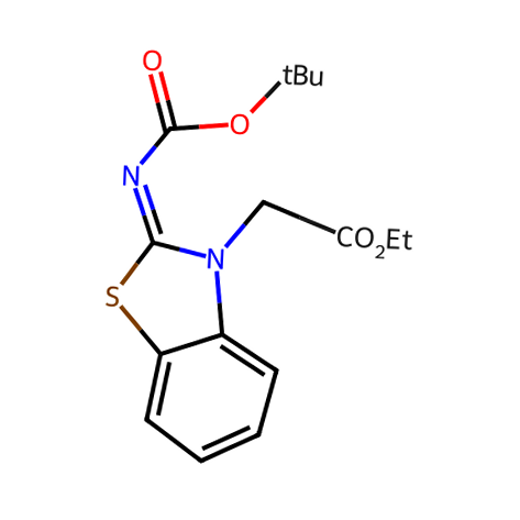 CCOC(=O)Cn1c(=NC(=O)OC(C)(C)C)sc2ccccc21